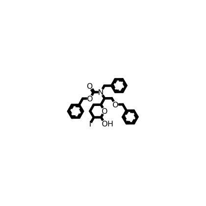 O=C(OCc1ccccc1)N(Cc1ccccc1)C(COCc1ccccc1)C1CCC(I)C(O)O1